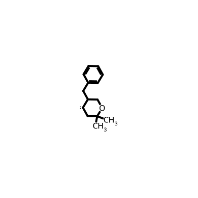 CC1(C)C[C]C(Cc2ccccc2)CO1